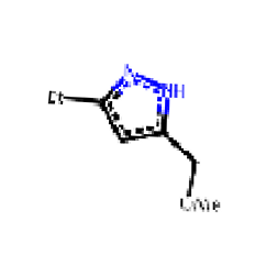 CCc1cc(COC)[nH]n1